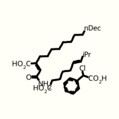 CC(C)C=CCCCCC(=O)O.CCCCCCCCCCCCCCCCCCC(=CC(N)=O)C(=O)O.O=C(O)C(Cl)c1ccccc1